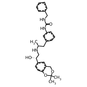 C[C@@H](Cc1cccc(NC(=O)NCc2ccccc2)c1)NC[C@@H](O)c1ccc2c(c1)COC(C)(C)O2